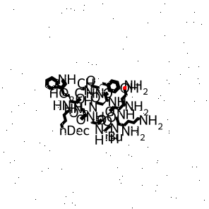 CCCCCCCCCCCCCC(=O)N[C@@H](CCc1c[nH]c2ccccc12)C(=O)NCC(=O)NCC(=O)N[C@H](C(=O)N[C@H](C(=O)N[C@H](C(=O)N[C@@H](CC(N)=O)C(=O)N[C@@H](Cc1ccc(O)cc1)C(=O)N[C@@H](C)C(=O)O)C(N)CCCN)C(N)CCCN)[C@@H](C)CC